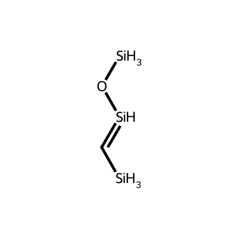 [SiH3]C=[SiH]O[SiH3]